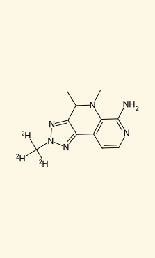 [2H]C([2H])([2H])n1nc2c(n1)C(C)N(C)c1c-2ccnc1N